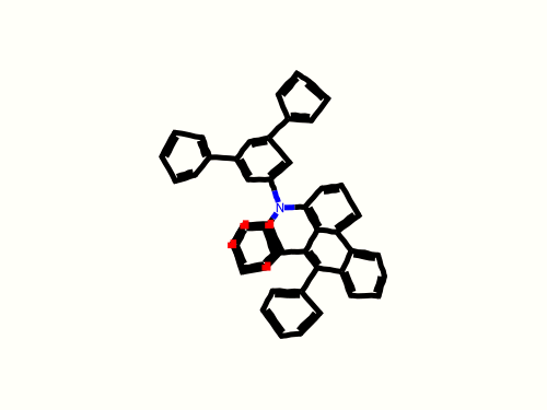 c1ccc(-c2cc(-c3ccccc3)cc(N(c3ccccc3)c3cccc4c3c(-c3ccccc3)c(-c3ccccc3)c3ccccc34)c2)cc1